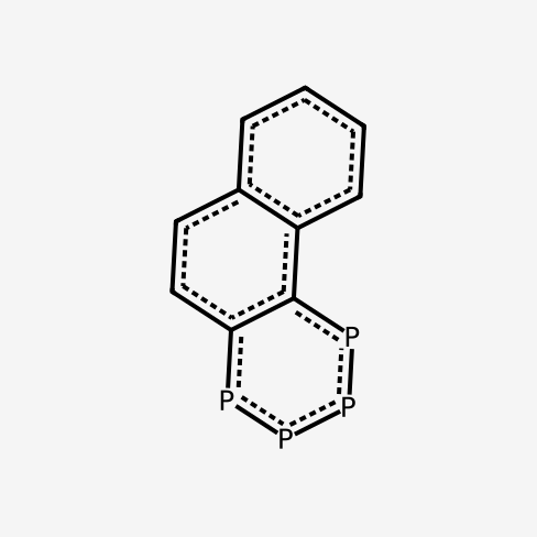 c1ccc2c(c1)ccc1ppppc12